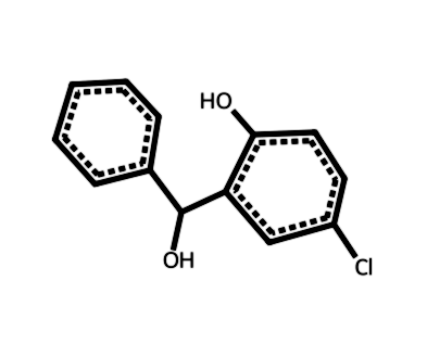 Oc1ccc(Cl)cc1C(O)c1ccccc1